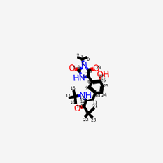 CC(C)N1C(=O)NC(c2cc(C[C@H](NC(C)(C)C)C(=O)C(C)(C)C)ccc2O)C1=O